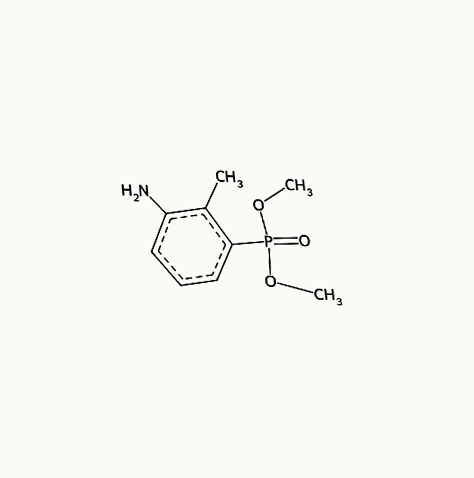 COP(=O)(OC)c1cccc(N)c1C